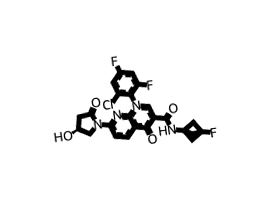 O=C(NC12CC(F)(C1)C2)c1cn(-c2c(F)cc(F)cc2Cl)c2nc(N3C[C@@H](O)CC3=O)ccc2c1=O